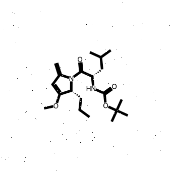 C=C1C=C(OC)[C@@H](CCC)N1C(=O)[C@H](CC(C)C)NC(=O)OC(C)(C)C